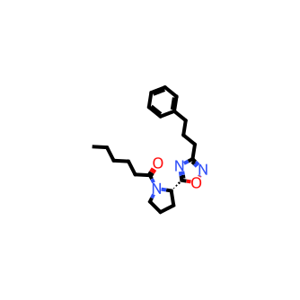 CCCCCC(=O)N1CCC[C@H]1c1nc(CCCc2ccccc2)no1